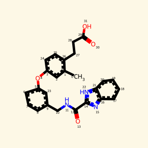 Cc1cc(Oc2cccc(CNC(=O)c3nc4ccccc4[nH]3)c2)ccc1CCC(=O)O